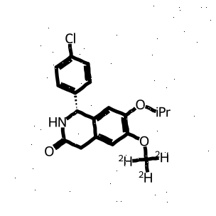 [2H]C([2H])([2H])Oc1cc2c(cc1OC(C)C)[C@@H](c1ccc(Cl)cc1)NC(=O)C2